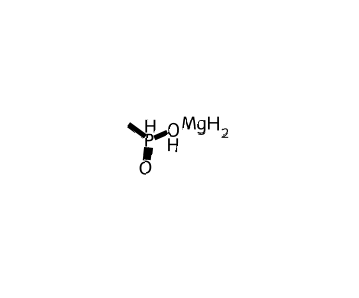 C[PH](=O)O.[MgH2]